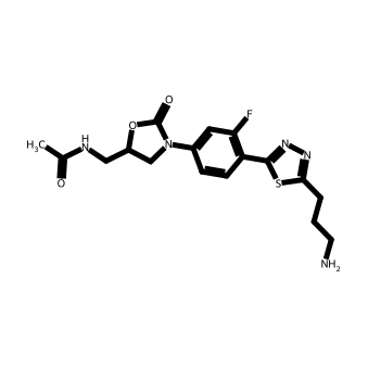 CC(=O)NCC1CN(c2ccc(-c3nnc(CCCN)s3)c(F)c2)C(=O)O1